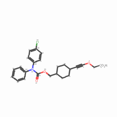 O=C(O)COC#CC1CCC(COC(=O)N(c2ccccc2)c2ccc(Cl)cc2)CC1